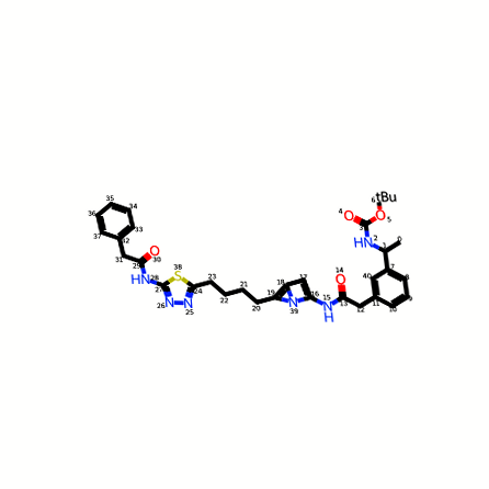 CC(NC(=O)OC(C)(C)C)c1cccc(CC(=O)Nc2cc3c(CCCCc4nnc(NC(=O)Cc5ccccc5)s4)n2-3)c1